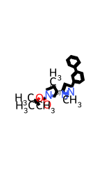 C[C@@H]1CN(C(=O)OC(C)(C)C)C[C@H]1c1cc(-c2cccc(-c3ccccc3)c2)nn1C